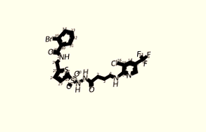 O=C(CCCNc1ncc(C(F)(F)F)cc1Cl)NNS(=O)(=O)c1ccc(CNC(=O)c2ccccc2Br)s1